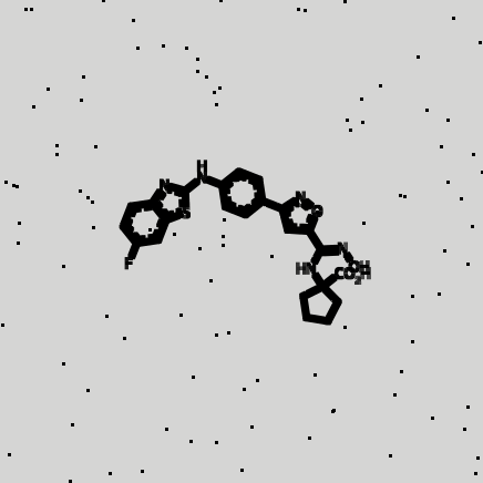 O=C(O)C1(N/C(=N\O)c2cc(-c3ccc(Nc4nc5ccc(F)cc5s4)cc3)no2)CCCC1